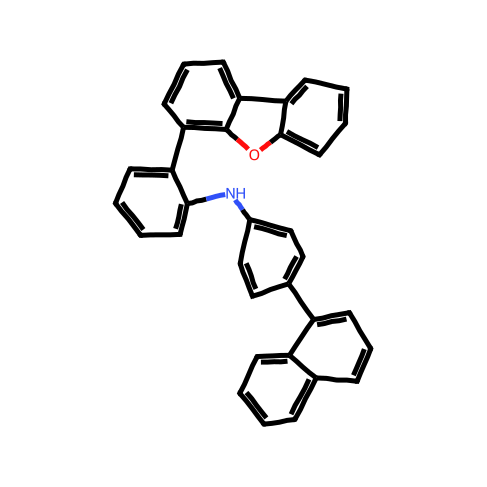 c1ccc(-c2cccc3c2oc2ccccc23)c(Nc2ccc(-c3cccc4ccccc34)cc2)c1